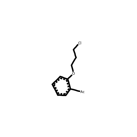 CC(=O)c1ccccc1OCCCCl